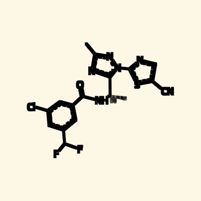 Cc1nc([C@H](C)NC(=O)c2cc(Cl)cc(C(F)F)c2)n(-c2ncc(C#N)s2)n1